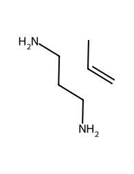 C=CC.NCCCN